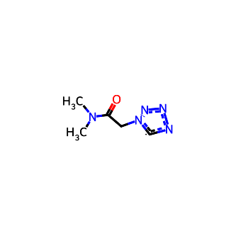 CN(C)C(=O)Cn1[c]nnn1